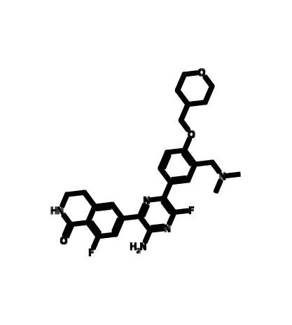 CN(C)Cc1cc(-c2nc(-c3cc(F)c4c(c3)CCNC4=O)c(N)nc2F)ccc1OCC1CCOCC1